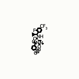 CN1C[C@@H](C(=O)NC(c2ccc(C(F)(F)F)cc2F)C2CC2)N(C(=O)c2cccc(S(C)(=O)=O)c2)C1=O